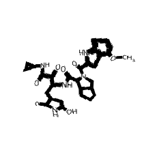 COc1cccc2[nH]c(C(=O)N3CC4CCCC4C3C(=O)NC(CC3CC(O)NC3=O)C(=O)C(=O)NC3CC3)cc12